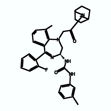 Cc1cccc(NC(=O)N[C@H]2CN(CC(=O)N3CC4CCC(CC4)C3)c3c(C)cccc3C(c3ccccc3F)=N2)c1